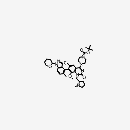 COc1c(-c2c(C)ccc3c2cnn3C2CCCCO2)c(Cl)cc2c(N3CCN(C(=O)OC(C)(C)C)CC3)nc(=O)n(CC3CCCN3C)c12